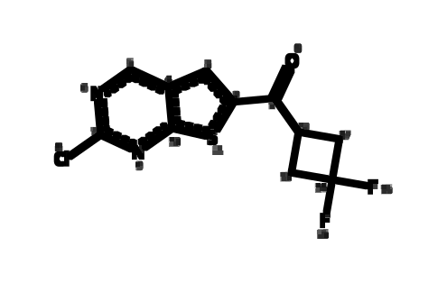 O=C(c1cc2cnc(Cl)nc2s1)C1CC(F)(F)C1